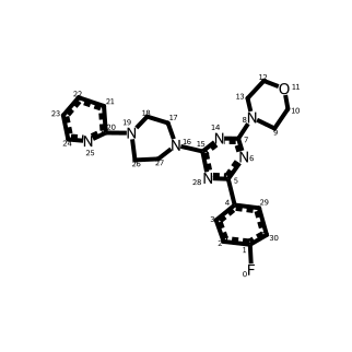 Fc1ccc(-c2nc(N3CCOCC3)nc(N3CCN(c4ccccn4)CC3)n2)cc1